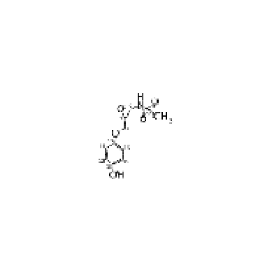 CS(=O)(=O)NC1OC1COc1ccc(O)cc1